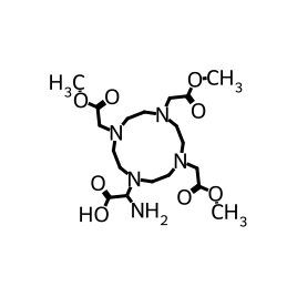 COC(=O)CN1CCN(CC(=O)OC)CCN(C(N)C(=O)O)CCN(CC(=O)OC)CC1